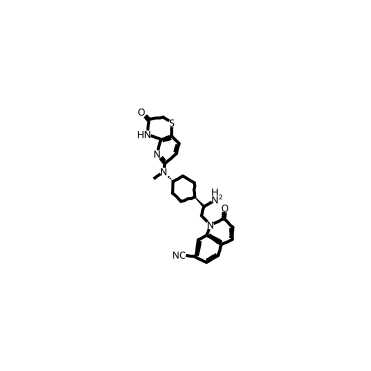 CN(c1ccc2c(n1)NC(=O)CS2)[C@H]1CC[C@H](C(N)Cn2c(=O)ccc3ccc(C#N)cc32)CC1